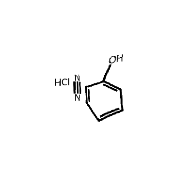 Cl.N#N.Oc1ccccc1